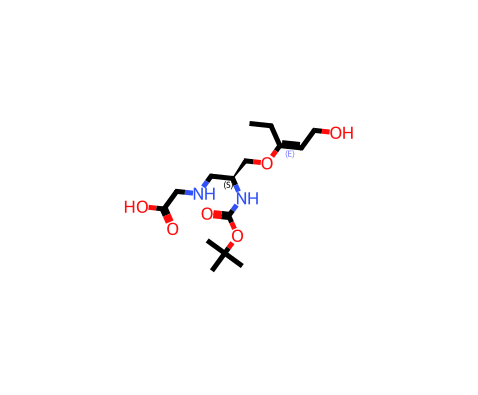 CC/C(=C\CO)OC[C@H](CNCC(=O)O)NC(=O)OC(C)(C)C